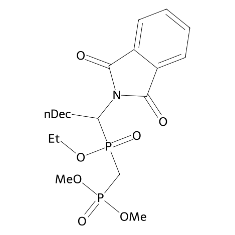 CCCCCCCCCCC(N1C(=O)c2ccccc2C1=O)P(=O)(CP(=O)(OC)OC)OCC